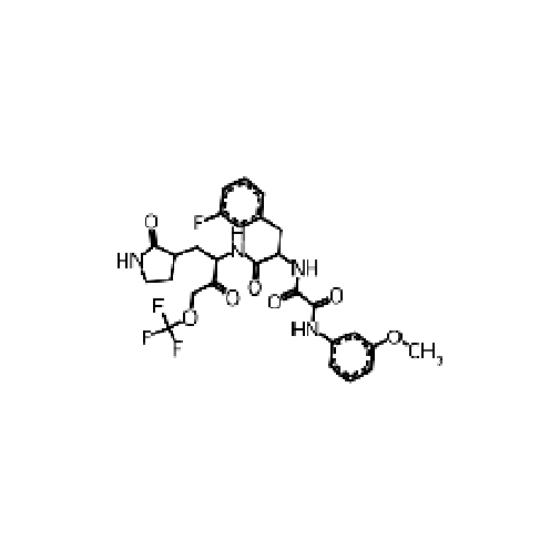 COc1cccc(NC(=O)C(=O)NC(Cc2cccc(F)c2)C(=O)NC(CC2CCNC2=O)C(=O)COC(F)(F)F)c1